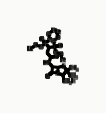 CCOOP(=O)(OOCC)C(CC(=O)NC1C(=O)N2C1SC(C)(C)C2C(=O)O)P(=O)(OOCC)OOCC